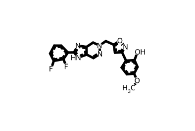 COc1ccc(-c2cc(CN3Cc4nc(-c5cccc(F)c5F)[nH]c4C=N3)on2)c(O)c1